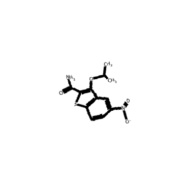 CC(C)Oc1c(C(N)=O)sc2ccc([N+](=O)[O-])cc12